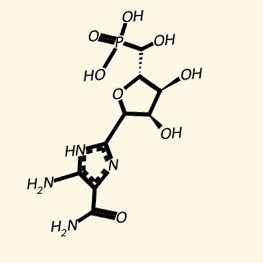 NC(=O)c1nc(C2O[C@H](C(O)P(=O)(O)O)[C@@H](O)[C@H]2O)[nH]c1N